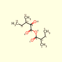 CCC(C)C(=O)OC(=O)C(=O)C(C)CC